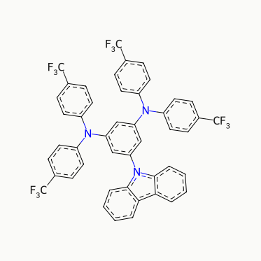 FC(F)(F)c1ccc(N(c2ccc(C(F)(F)F)cc2)c2cc(N(c3ccc(C(F)(F)F)cc3)c3ccc(C(F)(F)F)cc3)cc(-n3c4ccccc4c4ccccc43)c2)cc1